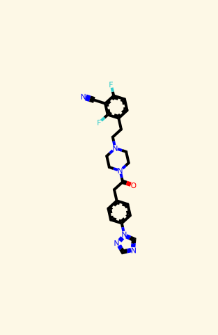 N#Cc1c(F)ccc(CCN2CCN(C(=O)Cc3ccc(-n4cncn4)cc3)CC2)c1F